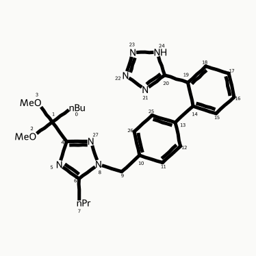 CCCCC(OC)(OC)c1nc(CCC)n(Cc2ccc(-c3ccccc3-c3nnn[nH]3)cc2)n1